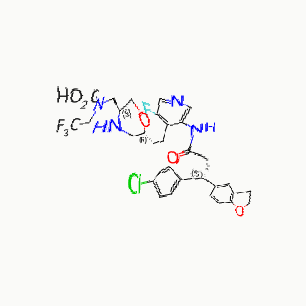 O=C(C[C@@H](c1ccc(Cl)cc1)c1ccc2c(c1)CCO2)Nc1cncc(F)c1CC[C@@H]1CN[C@@H](CN(CC(F)(F)F)C(=O)O)CO1